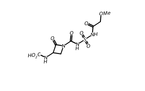 COCC(=O)NS(=O)(=O)NC(=O)N1CC(NC(=O)O)C1=O